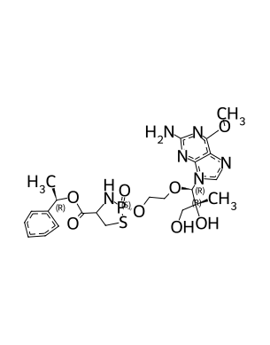 COc1nc(N)nc2c1ncn2[C@H](OCCO[P@@]1(=O)NC(C(=O)O[C@H](C)c2ccccc2)CS1)[C@](C)(O)CO